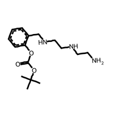 CC(C)(C)OC(=O)Oc1ccccc1CNCCNCCN